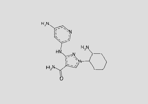 NC(=O)c1cn(C2CCCCC2N)nc1Nc1cncc(N)c1